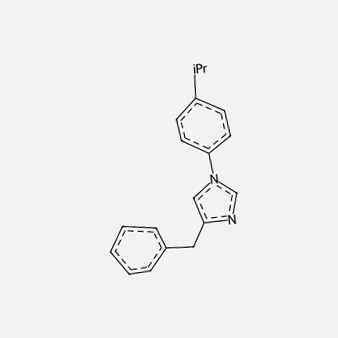 CC(C)c1ccc(-n2cnc(Cc3ccccc3)c2)cc1